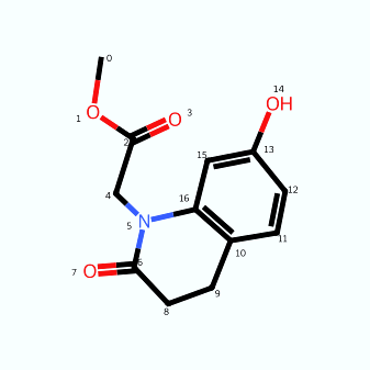 COC(=O)CN1C(=O)CCc2ccc(O)cc21